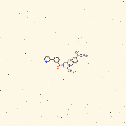 COC(=O)c1ccc(CN2[C@H](C)CN(C(=O)c3cccc(-c4cccnc4)c3)C[C@@H]2C)cc1